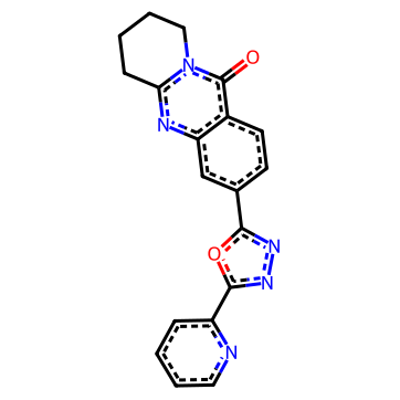 O=c1c2ccc(-c3nnc(-c4ccccn4)o3)cc2nc2n1CCCC2